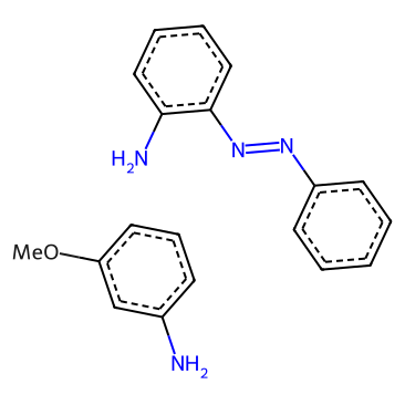 COc1cccc(N)c1.Nc1ccccc1N=Nc1ccccc1